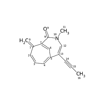 C=C1C=CC=C2C=C1C(=O)N(C)C=C2C#CC